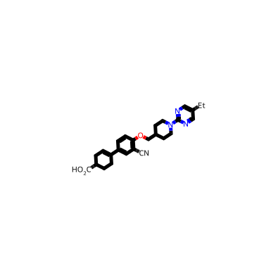 CCc1cnc(N2CCC(COc3ccc(C4=CCC(C(=O)O)CC4)cc3C#N)CC2)nc1